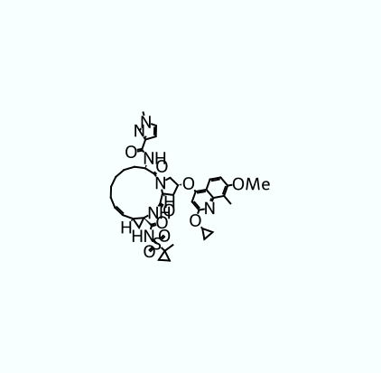 COc1ccc2c(O[C@@H]3C[C@H]4C(=O)N[C@]5(C(=O)NS(=O)(=O)C6(C)CC6)C[C@H]5/C=C\CCCCC[C@H](NC(=O)c5ccn(C)n5)C(=O)N4C3)cc(OC3CC3)nc2c1C